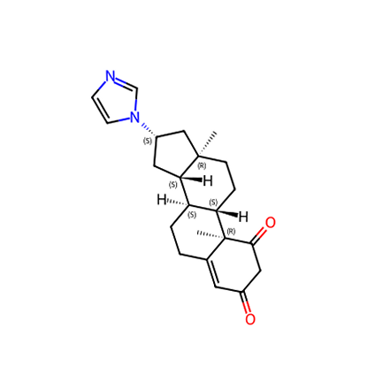 C[C@]12CC[C@H]3[C@@H](CCC4=CC(=O)CC(=O)[C@@]43C)[C@@H]1C[C@H](n1ccnc1)C2